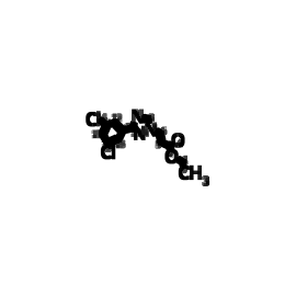 CCOC(=O)C=Cn1cnc(-c2cc(Cl)cc(Cl)c2)n1